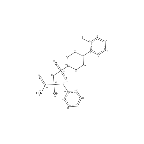 Cc1ccccc1C1CCN(S(=O)(=O)CC(O)(Cc2ccccc2)C(N)=O)CC1